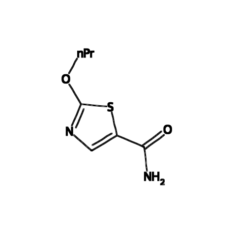 CCCOc1ncc(C(N)=O)s1